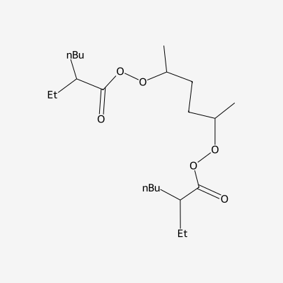 CCCCC(CC)C(=O)OOC(C)CCC(C)OOC(=O)C(CC)CCCC